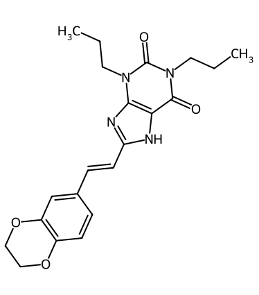 CCCn1c(=O)c2[nH]c(C=Cc3ccc4c(c3)OCCO4)nc2n(CCC)c1=O